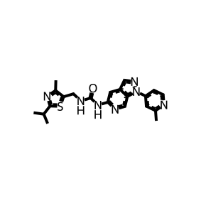 Cc1cc(-n2ncc3cc(NC(=O)NCc4sc(C(C)C)nc4C)ncc32)ccn1